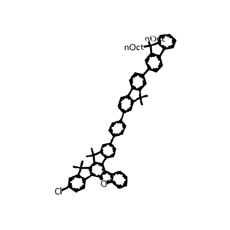 CCCCCCCCC1(CCCCCCCC)c2ccccc2-c2ccc(-c3ccc4c(c3)C(C)(C)c3cc(-c5ccc(-c6ccc7c(c6)C(C)(C)c6c8c(c9oc%10ccccc%10c9c6-7)-c6ccc(Cl)cc6C8(C)C)cc5)ccc3-4)cc21